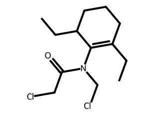 CCC1=C(N(CCl)C(=O)CCl)C(CC)CCC1